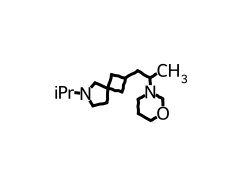 CC(C)N1CCC2(CC(CC(C)N3CCCOC3)C2)C1